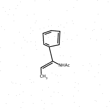 C/C=C(\NC(C)=O)c1ccccc1